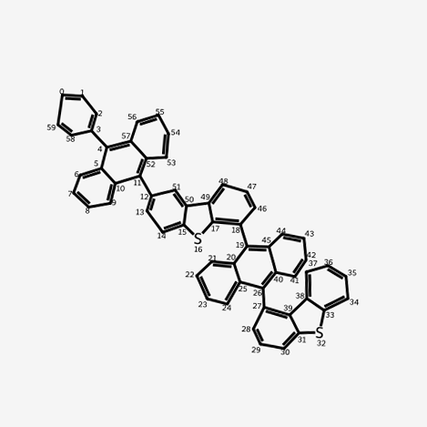 c1ccc(-c2c3ccccc3c(-c3ccc4sc5c(-c6c7ccccc7c(-c7cccc8sc9ccccc9c78)c7ccccc67)cccc5c4c3)c3ccccc23)cc1